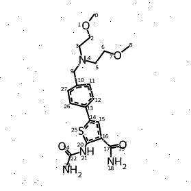 COCCN(CCOC)Cc1ccc(-c2cc(C(N)=O)c(NC(N)=O)s2)cc1